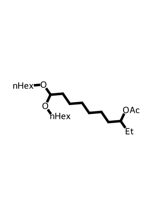 CCCCCCOC(CCCCCCC(CC)OC(C)=O)OCCCCCC